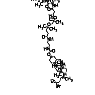 CCC(CC[C@@H](C)[C@H]1CC[C@H]2[C@@H]3CC=C4C[C@@H](OC(=O)NCCNC(=O)CCC(C)(C)OCC(C)(C)OCCC(=O)N[C@@H](C)C(=O)N[C@@H](C)C(=O)O)CC[C@]4(C)[C@H]3CC[C@]12C)C(C)C